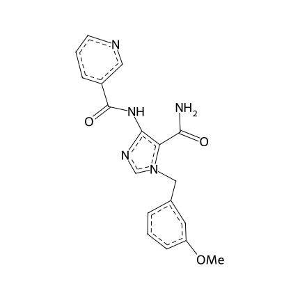 COc1cccc(Cn2cnc(NC(=O)c3cccnc3)c2C(N)=O)c1